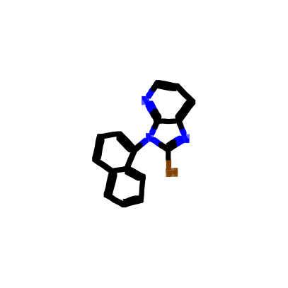 Sc1nc2cccnc2n1-c1cccc2ccccc12